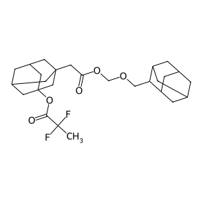 CC(F)(F)C(=O)OC12CC3CC(CC(CC(=O)OCOCC4C5CC6CC(C5)CC4C6)(C3)C1)C2